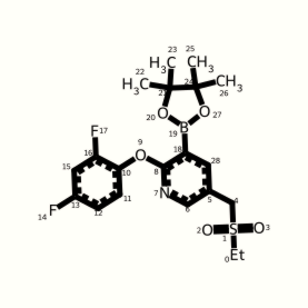 CCS(=O)(=O)Cc1cnc(Oc2ccc(F)cc2F)c(B2OC(C)(C)C(C)(C)O2)c1